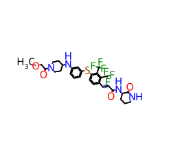 COCC(=O)N1CCC(Nc2cccc(Sc3ccc(/C=C/C(=O)NC4CCCNC4=O)c(C(F)(F)F)c3C(F)(F)F)c2)CC1